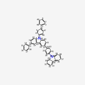 c1ccc(-c2ccc(-n3c4ccc(-c5ccccc5)cc4c4cc(-c5ccc(-n6c7ccccc7c7ccccc76)cc5)ccc43)cc2)cc1